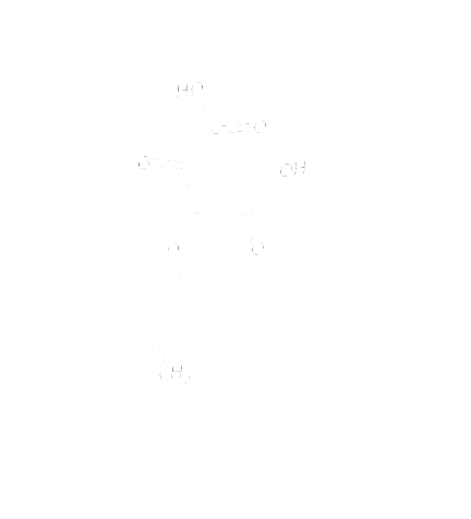 C=CCOC(C(=O)O)C(=O)C(=O)O